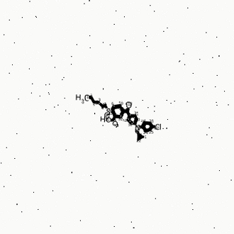 CCCCCC[S+]([O-])c1ccc(C(=O)c2ccc(N(CC3CC3)c3ccc(Cl)cc3)cc2)cc1C(=O)O